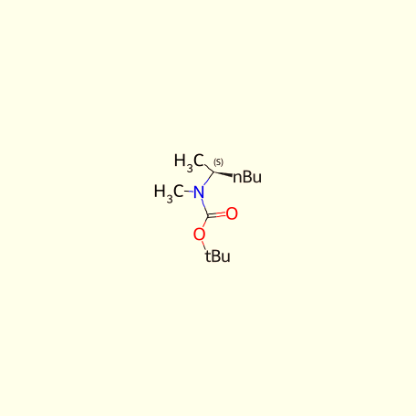 CCCC[C@H](C)N(C)C(=O)OC(C)(C)C